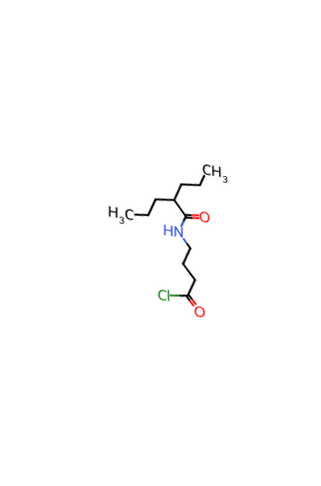 CCCC(CCC)C(=O)NCCCC(=O)Cl